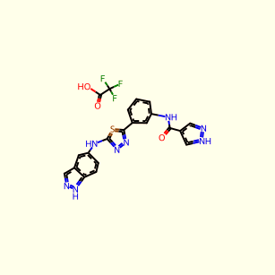 O=C(Nc1cccc(-c2nnc(Nc3ccc4[nH]ncc4c3)s2)c1)c1cn[nH]c1.O=C(O)C(F)(F)F